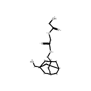 O=C(CO)OCC(=O)OCC12CC3CC(CC(CO)(C3)C1)C2